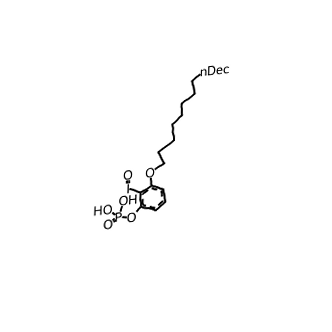 CCCCCCCCCCCCCCCCCCOc1cccc(OP(=O)(O)O)c1I=O